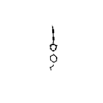 CCC[C@H]1CC[C@H](c2ccc(C#CC#CI)cc2)CC1